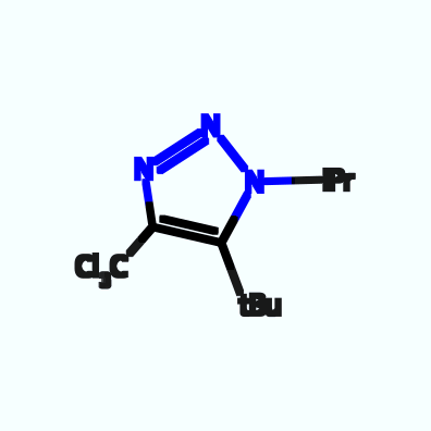 CC(C)n1nnc(C(Cl)(Cl)Cl)c1C(C)(C)C